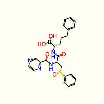 O=C(NC(C[S+]([O-])c1ccccc1)C(=O)N[C@@H](CCCc1ccccc1)B(O)O)c1cnccn1